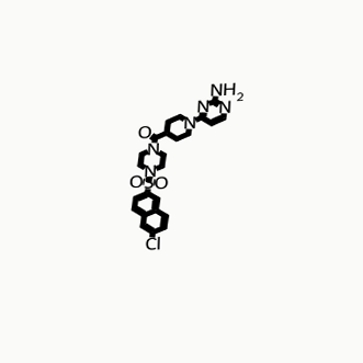 Nc1nccc(N2CCC(C(=O)N3CCN(S(=O)(=O)c4ccc5cc(Cl)ccc5c4)CC3)CC2)n1